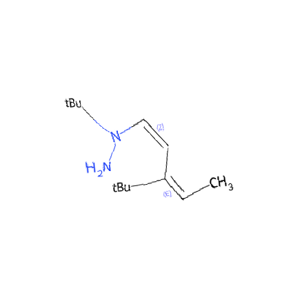 C/C=C(\C=C/N(N)C(C)(C)C)C(C)(C)C